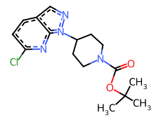 CC(C)(C)OC(=O)N1CCC(n2ncc3ccc(Cl)nc32)CC1